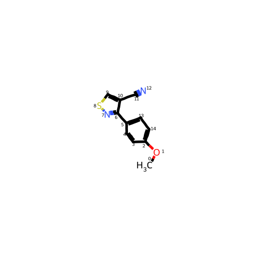 COc1ccc(-c2nscc2C#N)cc1